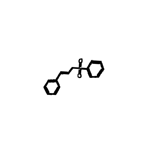 O=S(=O)(CC=Cc1ccccc1)c1ccccc1